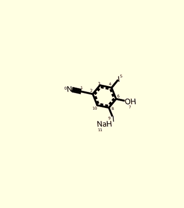 N#Cc1cc(I)c(O)c(I)c1.[NaH]